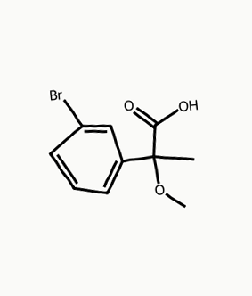 COC(C)(C(=O)O)c1cccc(Br)c1